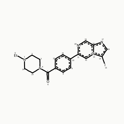 CCN1CCN(C(=O)c2ccc(-c3cn4c(I)cnc4cn3)cc2)CC1